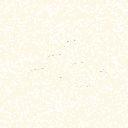 NCCSC(CC=O)CC(CC=O)SCCN